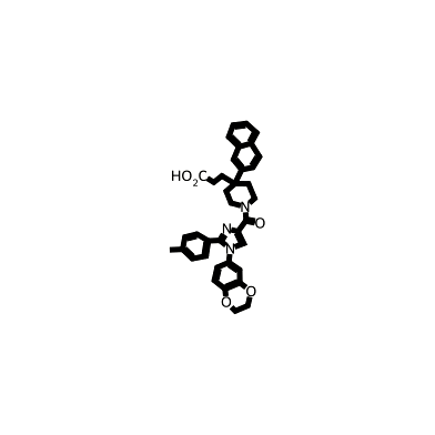 Cc1ccc(-c2nc(C(=O)N3CCC(CCC(=O)O)(c4ccc5ccccc5c4)CC3)cn2-c2ccc3c(c2)OCCO3)cc1